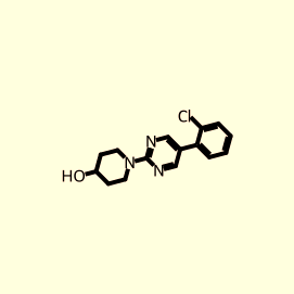 OC1CCN(c2ncc(-c3ccccc3Cl)cn2)CC1